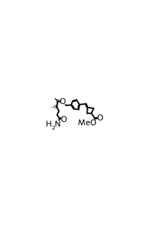 COC(=O)C1CC(=Cc2ccc(CO[C@H](C)[C@@H](C)CCC(N)=O)cc2)C1